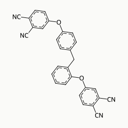 N#Cc1ccc(Oc2ccc(Cc3ccccc3Oc3ccc(C#N)c(C#N)c3)cc2)cc1C#N